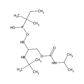 CCC(C)(C)P(O)OBC(BC(C)(C)C)COC(=O)NC(C)C